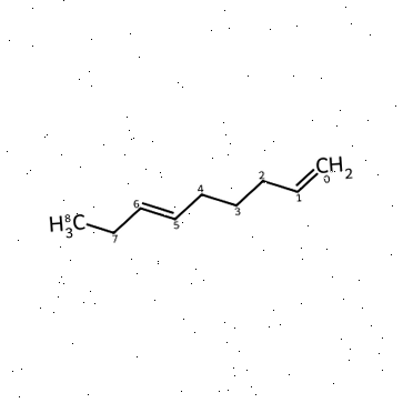 C=CCCCC=CCC